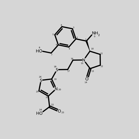 NC(c1cccc(CO)c1)[C@H]1CCC(=O)N1CCSc1nc(C(=O)O)cs1